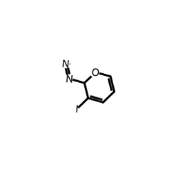 [N]=NC1OC=CC=C1I